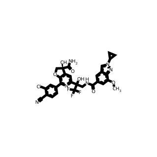 COc1cc(C(=O)NCC(O)(c2cc3c(c(-c4ccc(C#N)c(Cl)c4)n2)OC[C@]3(C)C(N)=O)C(F)(F)F)cc2cn(C3CC3)nc12